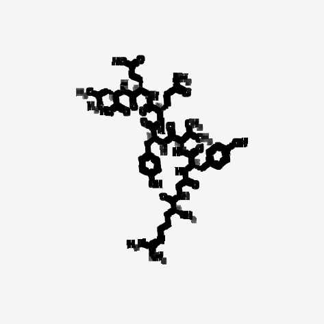 CC(C)C[C@H](NC(=O)[C@H](CCC(=O)O)NC(=O)[C@H](CCC(N)=O)NC(=O)[C@H](Cc1ccc(O)cc1)NC(=O)[C@@H](NC(=O)[C@H](Cc1ccc(O)cc1)NC(=O)CNC(=O)[C@@H](N)CCCN=C(N)N)C(C)C)C(=O)O